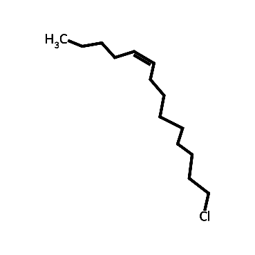 CCCC/C=C\CCCCCCCCCl